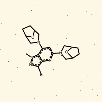 Cn1nc(Br)c2nc(N3CC4CCC(C3)O4)cc(N3CC4CCC(C3)O4)c21